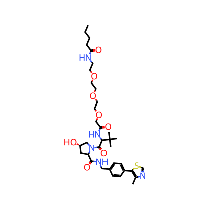 CCCCC(=O)NCCOCCOCCOCC(=O)NC(C(=O)N1C[C@H](O)CC1C(=O)NCc1ccc(-c2scnc2C)cc1)C(C)(C)C